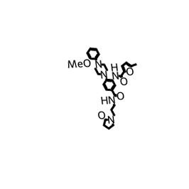 COc1ccccc1N1CCN(c2ccc(C(=O)NCCCN3CCCC3=O)cc2NC(=O)c2ccc(C)o2)CC1